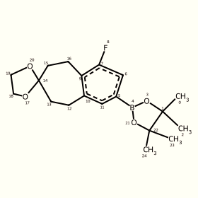 CC1(C)OB(c2cc(F)c3c(c2)CCC2(CC3)OCCO2)OC1(C)C